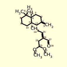 C=C1CC[C@H]2C(C)(C)CCC[C@]2(C)[C@H]1C/C=C(/C=O)CC(OC)OC